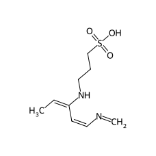 C=N/C=C\C(=C/C)NCCCS(=O)(=O)O